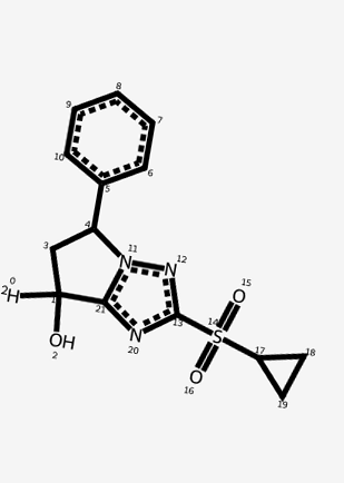 [2H]C1(O)CC(c2ccccc2)n2nc(S(=O)(=O)C3CC3)nc21